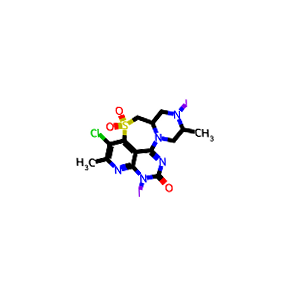 Cc1nc2c3c(nc(=O)n2I)N2CC(C)N(I)CC2CS(=O)(=O)c3c1Cl